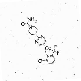 NC(=O)N1CCC(c2ncc(OCc3c(Cl)cccc3C(F)(F)F)cn2)CC1